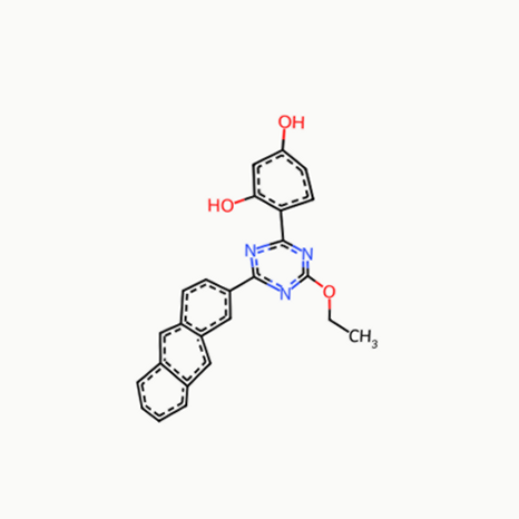 CCOc1nc(-c2ccc3cc4ccccc4cc3c2)nc(-c2ccc(O)cc2O)n1